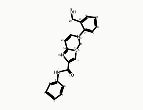 O=C(Nc1ccccc1)C1=C[N+]2CN(c3ccccc3CO)C=CC2=N1